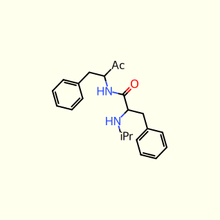 CC(=O)C(Cc1ccccc1)NC(=O)C(Cc1ccccc1)NC(C)C